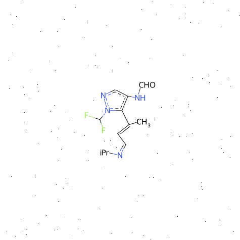 C/C(=C\C=N/C(C)C)c1c(NC=O)cnn1C(F)F